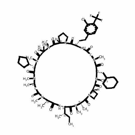 CC[C@H](C)[C@@H]1NC(=O)[C@H](C)N(C)C(=O)C[C@@H](C)N(C)C(=O)[C@H](C2CCCC2)N(C)C(=O)C(C)(C)N(C)C(=O)[C@@H]2CCCN2C(=O)[C@H](CCc2ccc(C(F)(F)F)c(Cl)c2)NC(=O)CN(C)C(=O)[C@H](CC2CCCCC2)N(C)C(=O)[C@@H]2CCN2C(=O)[C@H](C)N(C)C1=O